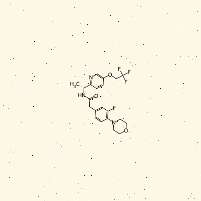 C[C@@H](NC(=O)Cc1ccc(N2CCOCC2)c(F)c1)c1ccc(OCC(F)(F)F)cn1